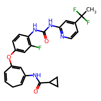 CC(F)(F)c1ccnc(NC(=O)Nc2ccc(OC3=CC(NC(=O)C4CC4)=CCC=C3)cc2F)c1